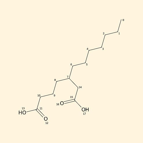 CCCCCCCC(CCCC(=O)O)CC(=O)O